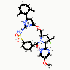 Cc1cccc(C)c1-c1cc2nc(n1)NS(=O)(=O)c1cccc(c1)C(=O)N(Cc1ncc(OC(C)C)cn1)[C@H](CC(C)(C)F)CO2